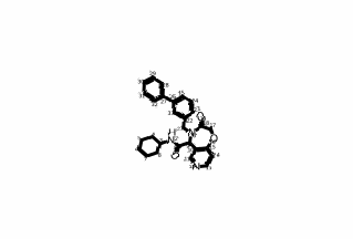 O=C(NC1CCCCC1)C1c2cnccc2OCC(=O)N1Cc1cccc(-c2ccccc2)c1